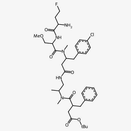 COCC(NC(=O)C(N)CCF)C(=O)N(C)C(CC(=O)NCC(C)N(C)C(=O)C(CC(=O)OC(C)(C)C)Cc1ccccc1)Cc1ccc(Cl)cc1